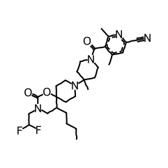 CCCCC1CN(CC(F)F)C(=O)OC12CCN(C1(C)CCN(C(=O)c3c(C)cc(C#N)nc3C)CC1)CC2